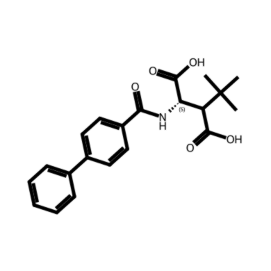 CC(C)(C)C(C(=O)O)[C@H](NC(=O)c1ccc(-c2ccccc2)cc1)C(=O)O